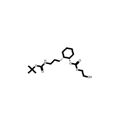 CC(C)(C)OC(=O)NCCC[C@@H]1CCCC[C@@H]1OC(=O)OCCO